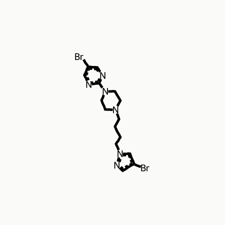 Brc1cnc(N2CCN(CCCCn3cc(Br)cn3)CC2)nc1